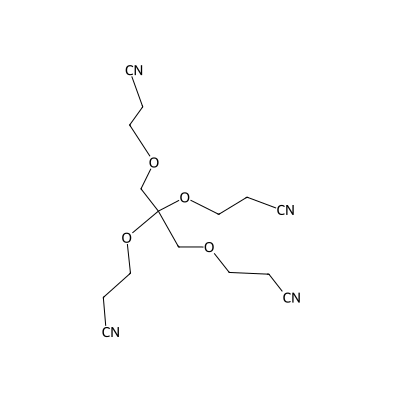 N#CCCOCC(COCCC#N)(OCCC#N)OCCC#N